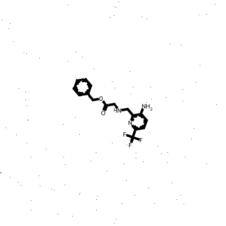 Nc1ccc(C(F)(F)F)nc1CNCC(=O)OCc1ccccc1